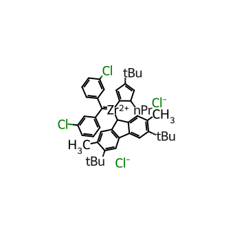 CCCC1C=C(C(C)(C)C)C=[C]1[Zr+2](=[C](c1cccc(Cl)c1)c1cccc(Cl)c1)[CH]1c2cc(C)c(C(C)(C)C)cc2-c2cc(C(C)(C)C)c(C)cc21.[Cl-].[Cl-]